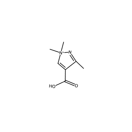 CC1=N[N+](C)(C)C=C1C(=O)O